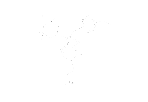 COC(=O)CCc1ccc2c(nc(Cc3ccc(OC(F)(F)F)cc3)n2C2CC(C)(C)CC(C)(C)C2)c1F